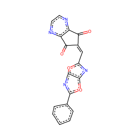 O=C1C(=Cc2nc3oc(-c4ccccc4)nc3o2)C(=O)c2nccnc21